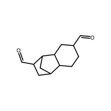 O=CC1CCC2C3CC(C=O)C(C3)C2C1